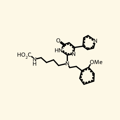 COc1ccccc1CCN(CCCCNC(=O)O)c1nc(-c2ccncc2)cc(=O)[nH]1